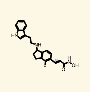 O=C(/C=C/c1ccc2c(c1F)CCC2NCCc1c[nH]c2ccccc12)NO